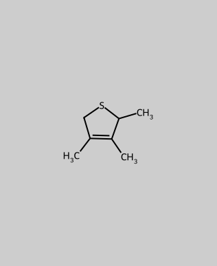 CC1=C(C)C(C)SC1